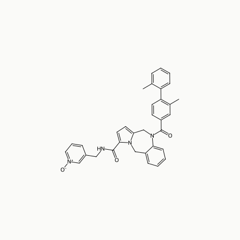 Cc1ccccc1-c1ccc(C(=O)N2Cc3ccc(C(=O)NCc4ccc[n+]([O-])c4)n3Cc3ccccc32)cc1C